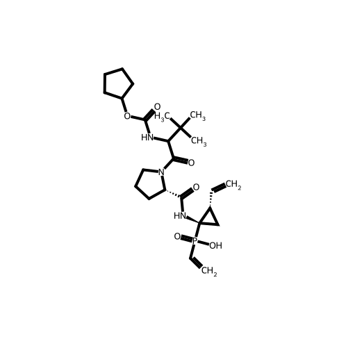 C=C[C@@H]1C[C@]1(NC(=O)[C@@H]1CCCN1C(=O)C(NC(=O)OC1CCCC1)C(C)(C)C)P(=O)(O)C=C